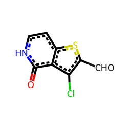 O=Cc1sc2cc[nH]c(=O)c2c1Cl